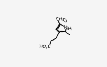 Cc1[nH]c(C=O)cc1CCC(=O)O